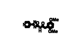 COc1ccc(OC)c(CC(=O)Nc2nc(-c3ccncc3)no2)c1